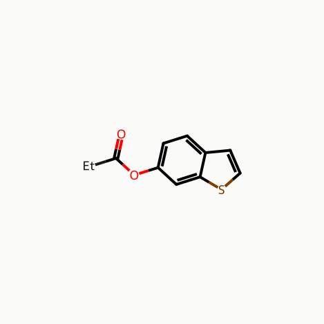 CCC(=O)Oc1ccc2ccsc2c1